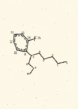 CCCCCC(CCC)c1ccccc1F